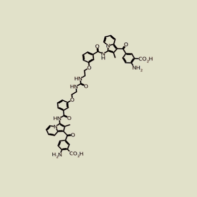 Cc1c(C(=O)c2ccc(N)c(C(=O)O)c2)c2ccccn2c1NC(=O)c1cccc(OCCNC(=O)NCCOc2cccc(C(=O)Nc3c(C)c(C(=O)c4ccc(N)c(C(=O)O)c4)c4ccccn34)c2)c1